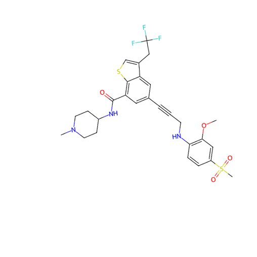 COc1cc(S(C)(=O)=O)ccc1NCC#Cc1cc(C(=O)NC2CCN(C)CC2)c2scc(CC(F)(F)F)c2c1